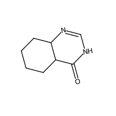 O=C1NC=NC2CCCCC12